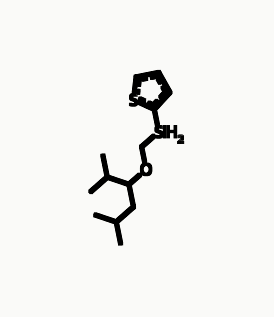 CC(C)CC(OC[SiH2]c1cccs1)C(C)C